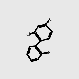 Clc1ccc(-c2ccc[c]c2Br)c(Cl)c1